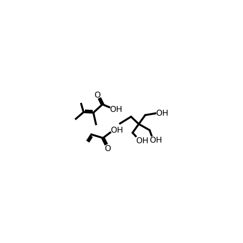 C=CC(=O)O.CC(C)=C(C)C(=O)O.CCC(CO)(CO)CO